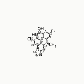 CN(c1cc(F)cc(B(O)O)c1)c1nc2nncn2c2cc(Cl)ccc12